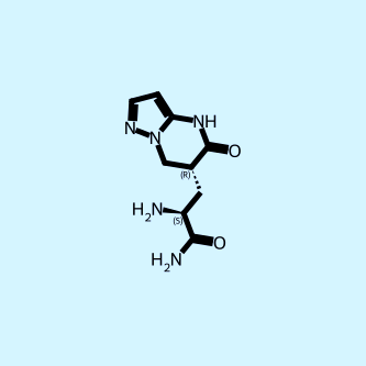 NC(=O)[C@@H](N)C[C@@H]1Cn2nccc2NC1=O